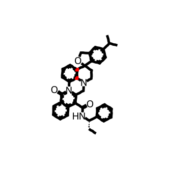 CC[C@H](NC(=O)c1c(CN2CCC3(CC2)OCc2cc(C(C)C)ccc23)n(-c2ccccc2)c(=O)c2ccccc12)c1ccccc1